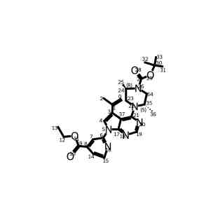 C=C(C)c1cn(-c2cc(C(=O)OCC)ccn2)c2ncnc(N3C[C@@H](C)N(C(=O)OC(C)(C)C)C[C@@H]3C)c12